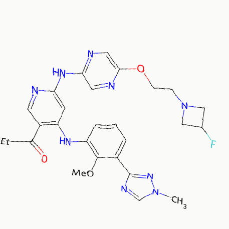 CCC(=O)c1cnc(Nc2cnc(OCCN3CC(F)C3)cn2)cc1Nc1cccc(-c2ncn(C)n2)c1OC